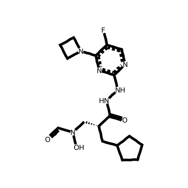 O=CN(O)C[C@@H](CC1CCCC1)C(=O)NNc1ncc(F)c(N2CCC2)n1